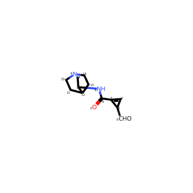 O=CC1C=C1C(=O)NC1CN2CCC1CC2